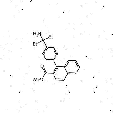 CCC(N)(CC)c1ccc(-c2c(C(=O)OC)ccc3ccccc23)cc1